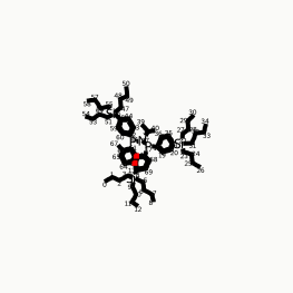 CCCC[Si](CCCC)(CCCC)c1ccc(P(c2ccc([Si](CCCC)(CCCC)CCCC)cc2)N(C(C)C)P(c2ccc([Si](CCCC)(CCCC)CCCC)cc2)c2ccccc2C)cc1